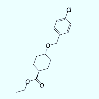 CCOC(=O)[C@H]1CC[C@H](OCc2ccc(Cl)cc2)CC1